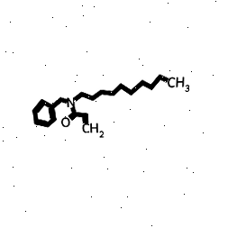 C=CC(=O)N(CCCCCCCCCC)Cc1ccccc1